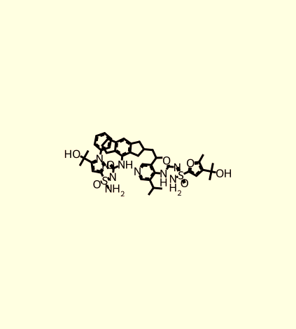 Cc1oc(S(N)(=O)=NC(=O)Nc2c(C(C)C)cncc2C(C)CC2Cc3cc4c(c(NC(=O)N=S(N)(=O)c5cc(C(C)(C)O)n(-c6ccccc6)n5)c3C2)CCC4)cc1C(C)(C)O